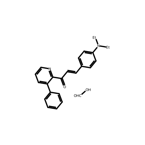 CCN(CC)c1ccc(C=CC(=O)c2ncccc2-c2ccccc2)cc1.O=CO